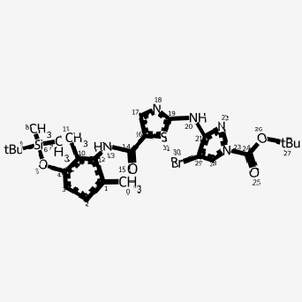 Cc1ccc(O[Si](C)(C)C(C)(C)C)c(C)c1NC(=O)c1cnc(Nc2nn(C(=O)OC(C)(C)C)cc2Br)s1